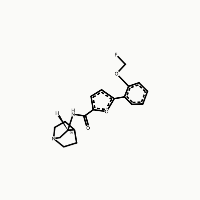 O=C(N[C@H]1CN2CCC1CC2)c1ccc(-c2ccccc2OCF)o1